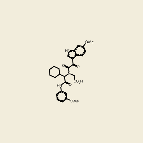 COc1cccc(NC(=O)C(C2CCCCC2)N(CC(=O)O)C(=O)C(=O)c2c[nH]c3cc(OC)ccc23)c1